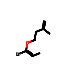 C=C(C)CCOC(=CC)CC